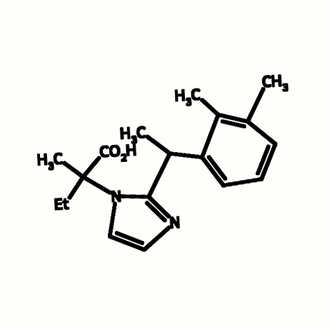 CCC(C)(C(=O)O)n1ccnc1C(C)c1cccc(C)c1C